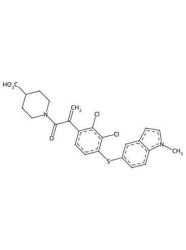 C=C(C(=O)N1CCC(C(=O)O)CC1)c1ccc(Sc2ccc3c(ccn3C)c2)c(Cl)c1Cl